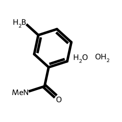 Bc1cccc(C(=O)NC)c1.O.O